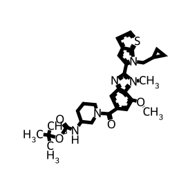 COc1cc(C(=O)N2CCCC(NC(=O)OC(C)(C)C)C2)cc2nc(-c3cc4ccsc4n3CC3CC3)n(C)c12